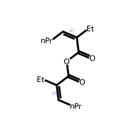 CCC/C=C(/CC)C(=O)OC(=O)/C(=C\CCC)CC